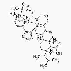 CC(C)C(C)C1(C)CCC2(C)C3CCC4C5(COCC4(C)C(OCC(C)(N)C(C)(C)C)C(n4ncnc4-c4ccncc4)C5)C3=CCC2(C)C1C(=O)O